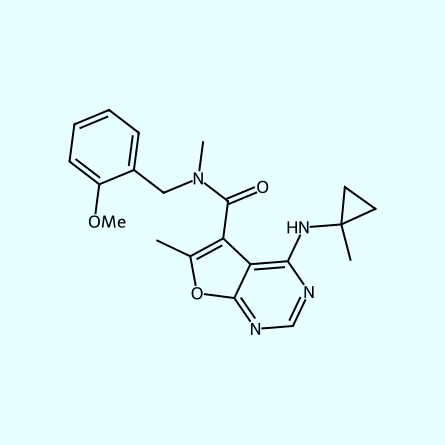 COc1ccccc1CN(C)C(=O)c1c(C)oc2ncnc(NC3(C)CC3)c12